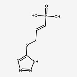 O=P(O)(O)C=CCSc1nnn[nH]1